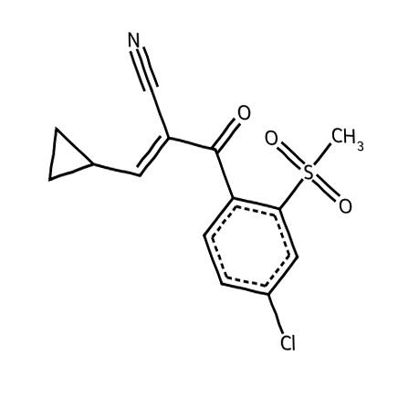 CS(=O)(=O)c1cc(Cl)ccc1C(=O)C(C#N)=CC1CC1